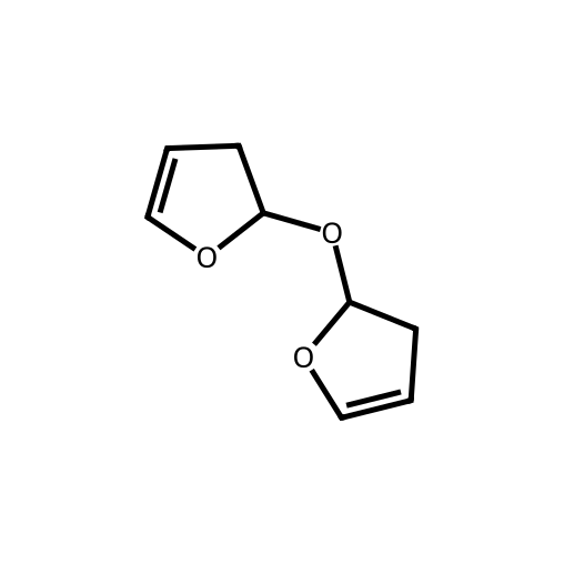 C1=COC(OC2CC=CO2)C1